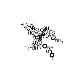 CC(C)(O)COC[C@H](NC(=O)OCc1ccc(NC(=O)Cc2ccc(F)cc2)cc1)C(=O)O[C@H]1[C@@H](O)[C@H](n2cnc3c(N)ncnc32)O[C@@H]1COP(=O)(O)O[C@H]1[C@@H](O)[C@H](n2ccc(N)nc2=O)O[C@@H]1COP(=O)(O)O